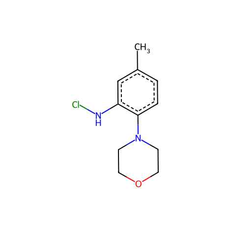 Cc1ccc(N2CCOCC2)c(NCl)c1